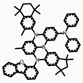 Cc1cc2c3c(c1)N(c1cccc4c1oc1ccccc14)c1cc4c(cc1B3c1cc(N(c3ccccc3)c3ccccc3)ccc1N2c1cc2c(cc1C)C(C)(C)CCC2(C)C)C(C)(C)CC4(C)C